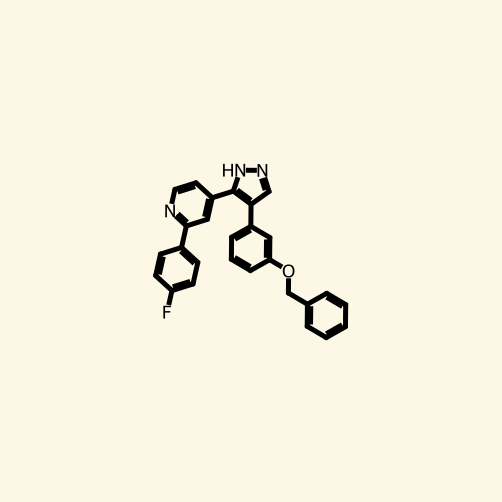 Fc1ccc(-c2cc(-c3[nH]ncc3-c3cccc(OCc4ccccc4)c3)ccn2)cc1